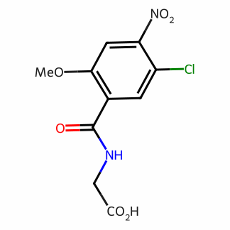 COc1cc([N+](=O)[O-])c(Cl)cc1C(=O)NCC(=O)O